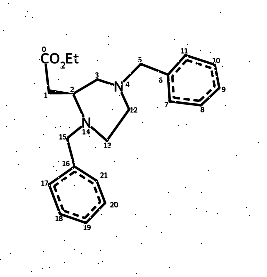 CCOC(=O)C[C@H]1CN(Cc2ccccc2)CCN1Cc1ccccc1